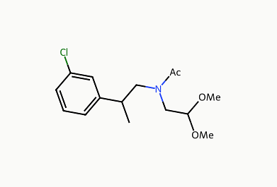 COC(CN(CC(C)c1cccc(Cl)c1)C(C)=O)OC